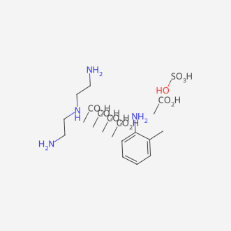 CC(=O)O.CC(=O)O.CC(=O)O.CC(=O)O.CC(=O)O.Cc1ccccc1N.NCCNCCN.O=S(=O)(O)O